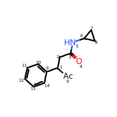 CC(=O)C(CC(=O)NC1CC1)c1ccccc1